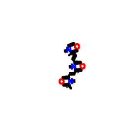 C[C@H]1COC[C@H](CC[C@@H]2COC[C@H](CC[C@]3(C)COCCN3C)N2C)N1C